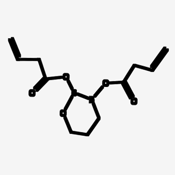 C=CCC(=O)OB1CCCOB1OC(=O)CC=C